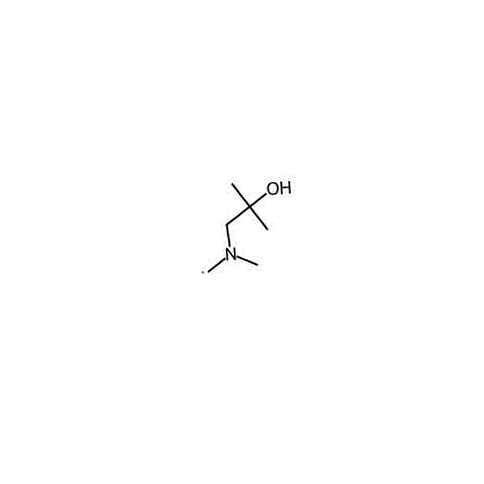 [CH2]N(C)CC(C)(C)O